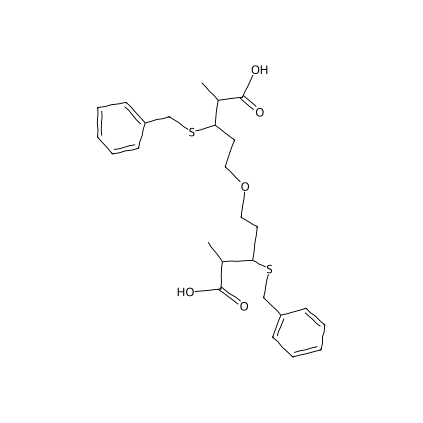 CC(C(=O)O)C(CCOCCC(SCc1ccccc1)C(C)C(=O)O)SCc1ccccc1